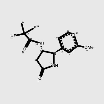 COc1cc([C@H]2NC(=O)C[C@@H]2NC(=O)C(C)(F)F)ccn1